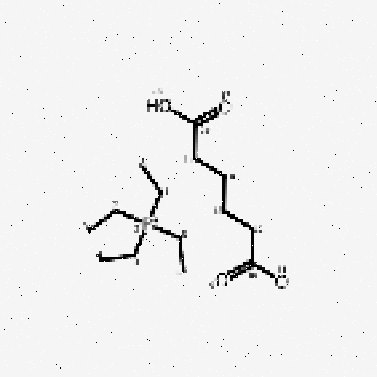 CC[P+](CC)(CC)CC.O=C([O-])CCCCC(=O)O